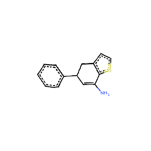 NC1=CC(c2ccccc2)Cc2ccsc21